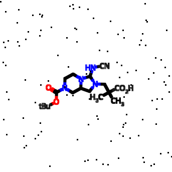 CC(C)(C)OC(=O)N1CCN2C(C1)CN(CC(C)(C)C(=O)O)C2NC#N